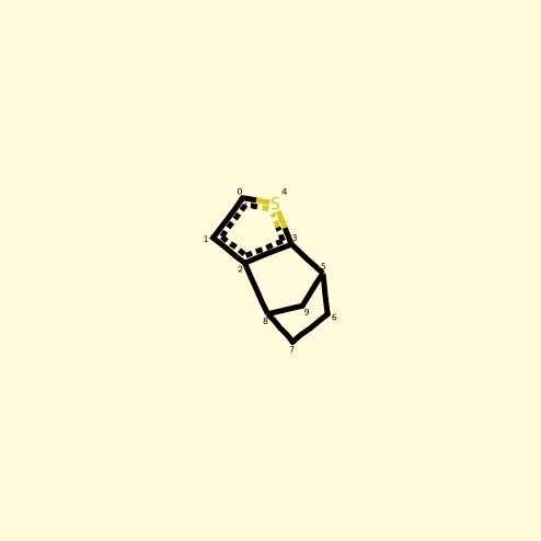 c1cc2c(s1)C1CCC2C1